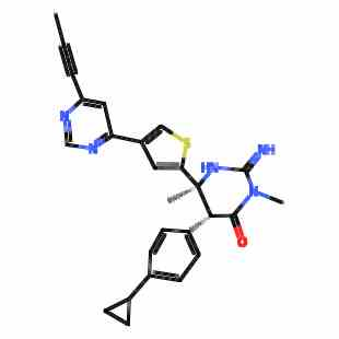 CC#Cc1cc(-c2csc([C@@]3(C)NC(=N)N(C)C(=O)[C@@H]3c3ccc(C4CC4)cc3)c2)ncn1